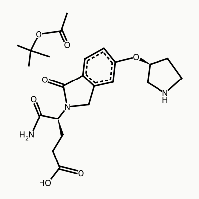 CC(=O)OC(C)(C)C.NC(=O)[C@H](CCC(=O)O)N1Cc2cc(O[C@H]3CCNC3)ccc2C1=O